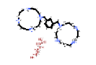 Br.Br.Br.Br.Br.Br.Br.Br.c1cc(CN2CCCNCCCNCCCNCCC2)cc(CN2CCCNCCCNCCCNCCC2)c1